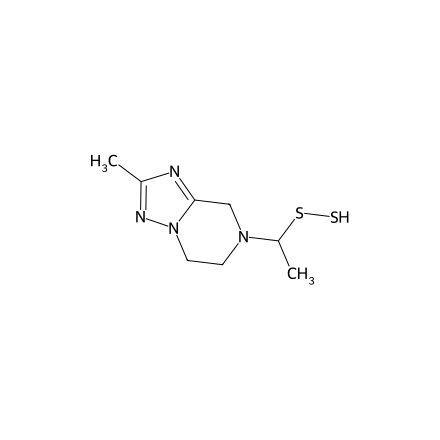 Cc1nc2n(n1)CCN(C(C)SS)C2